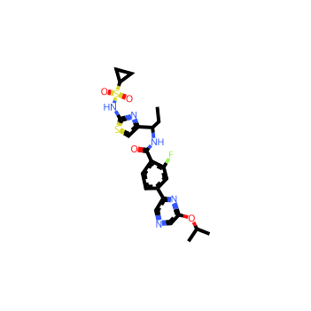 CCC(NC(=O)c1ccc(-c2cncc(OC(C)C)n2)cc1F)c1csc(NS(=O)(=O)C2CC2)n1